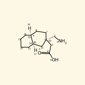 NC[C@@]1(CC(=O)O)CC[C@@H]2CCCC[C@@H]2C1